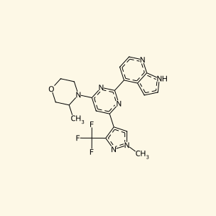 CC1COCCN1c1cc(-c2cn(C)nc2C(F)(F)F)nc(-c2ccnc3[nH]ccc23)n1